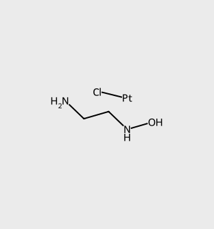 NCCNO.[Cl][Pt]